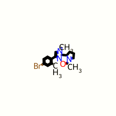 CC(=O)N1CCCC1c1nc(-c2ccc(Br)cc2C)cn1C